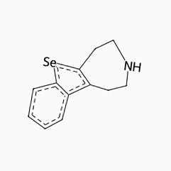 c1ccc2c3c([se]c2c1)CCNCC3